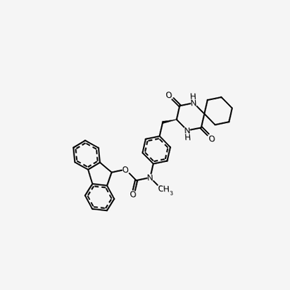 CN(C(=O)OC1c2ccccc2-c2ccccc21)c1ccc(C[C@@H]2NC(=O)C3(CCCCC3)NC2=O)cc1